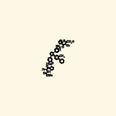 COC(=O)N[C@H](C(=O)N1CCC[C@H]1c1nc2cc([C@H]3CC[C@H](c4ccc5[nH]c([C@@H]6CCCN6C(=O)[C@H](C(C)C)N(C)C(=O)O)nc5c4)N3c3ccc(N4CCCCC4)c(C)c3)ccc2[nH]1)C(C)C